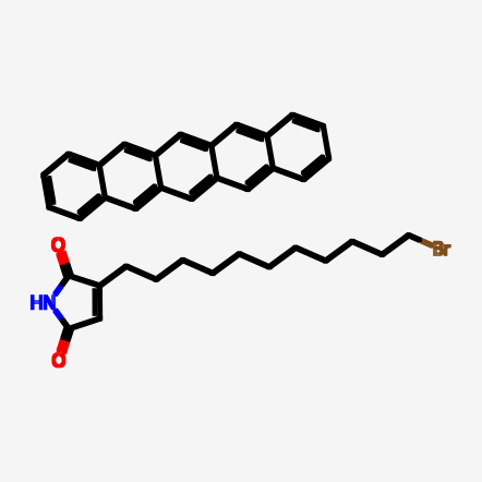 O=C1C=C(CCCCCCCCCCCBr)C(=O)N1.c1ccc2cc3cc4cc5ccccc5cc4cc3cc2c1